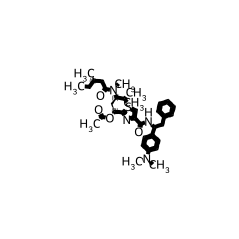 CC[C@H](C)CC(=O)N(C)[C@H](C[C@@H](OC(C)=O)c1nc(C(=O)NC(Cc2ccccc2)c2ccc(N(C)C)cc2)cs1)C(C)C